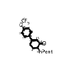 CCCCCC1CCC(c2ccc(OC(F)(F)F)cc2)=CC1=O